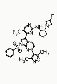 Cc1noc(C)c1-c1ccc2c(-c3nc(N[C@H]4CCC[C@@H]4N4CC(F)C4)ncc3C(F)(F)F)cn(S(=O)(=O)c3ccccc3)c2n1